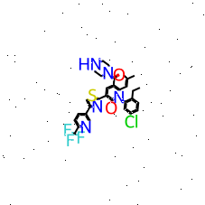 CCc1ccc(Cl)cc1-n1c(C=C(C)C)c(C(=O)N2CCNCC2)cc(-c2nc(-c3ccc(C(F)(F)F)nc3)cs2)c1=O